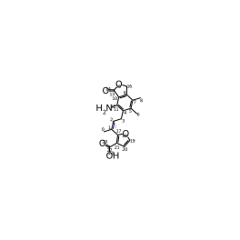 C/C(=C/Cc1c(C)c(C)c2c(c1N)C(=O)OC2)c1occc1C(=O)O